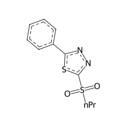 CCCS(=O)(=O)c1nnc(-c2ccccc2)s1